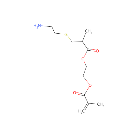 C=C(C)C(=O)OCCOC(=O)C(C)CSCCN